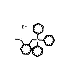 COc1ccccc1C[P+](c1ccccc1)(c1ccccc1)c1ccccc1.[Br-]